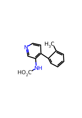 Cc1ccccc1-c1ccncc1NC(=O)O